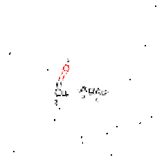 [Ag].[Au].[O]=[Cu]